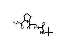 CC(C)(C)NC(=O)NCC(=O)N1CCCC1C(N)=O